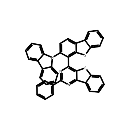 c1ccc(-c2nc(-c3c(-n4c5ccccc5c5ccccc54)ccc4c3sc3ccccc34)c3sc4ccccc4c3n2)cc1